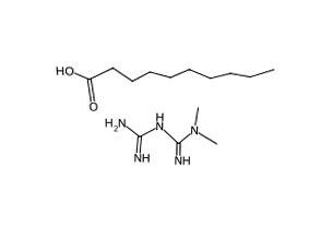 CCCCCCCCCC(=O)O.CN(C)C(=N)NC(=N)N